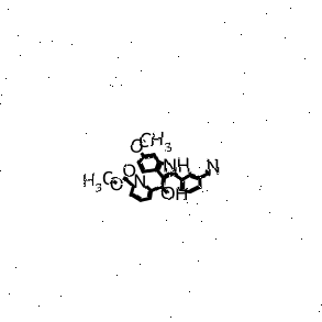 COC(=O)c1cccc(C(O)c2c(-c3cccc(C#N)c3)[nH]c3cc(OC)ccc23)n1